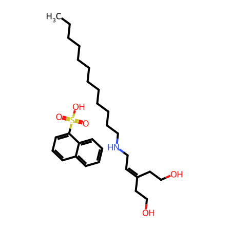 CCCCCCCCCCCCNCC=C(CCO)CCO.O=S(=O)(O)c1cccc2ccccc12